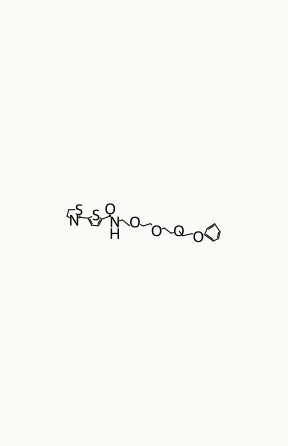 O=C(NCCOCCOCCOCCOc1ccccc1)c1ccc(C2=NCCS2)s1